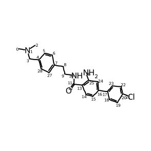 CN(C)Cc1ccc(CCNC(=O)c2ccc(-c3ccc(Cl)cc3)cc2N)cc1